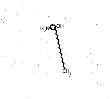 CCCCCCCCCCCCCCCCCCc1cc(N)ccc1O